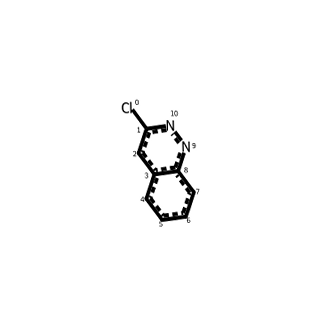 Clc1cc2ccccc2nn1